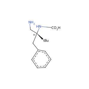 CC(C)(C)[C@](CN)(Cc1ccccc1)NC(=O)O